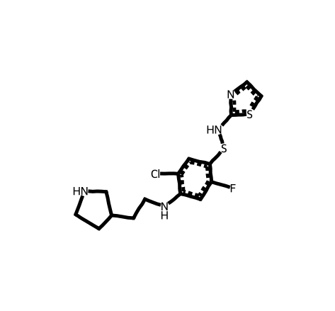 Fc1cc(NCCC2CCNC2)c(Cl)cc1SNc1nccs1